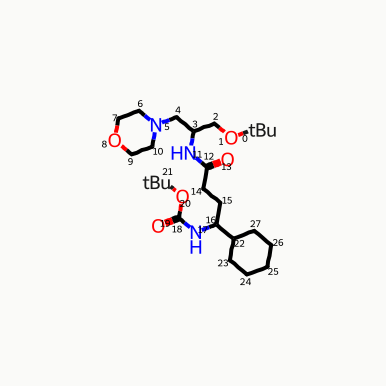 CC(C)(C)OCC(CN1CCOCC1)NC(=O)CCC(NC(=O)OC(C)(C)C)C1CCCCC1